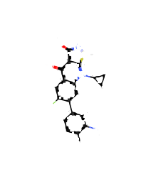 Cc1ccc(-c2cc3c(cc2F)c(=O)c2c(=O)[nH]sc2n3C2CC2)cc1N